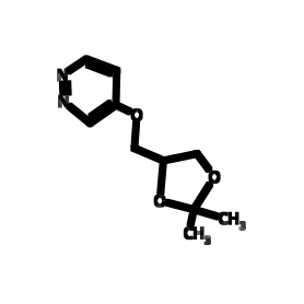 CC1(C)OCC(COc2ccnnc2)O1